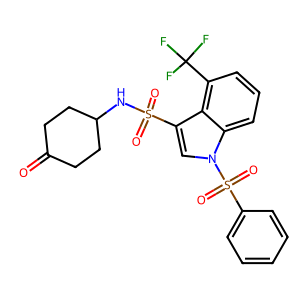 O=C1CCC(NS(=O)(=O)c2cn(S(=O)(=O)c3ccccc3)c3cccc(C(F)(F)F)c23)CC1